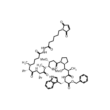 CC[C@H](C)[C@@H]([C@@H](CC(=O)N1CCC[C@H]1[C@H](OC)[C@@H](C)C(=O)N[C@@H](Cc1c[nH]c2ccccc12)C(=O)OCc1ccccc1)OC)N(C)C(=O)[C@@H](NC(=O)[C@H](C(C)C)N(C)CCCC(=O)NNC(=O)CCCCCN1C(=O)C=CC1=O)C(C)C